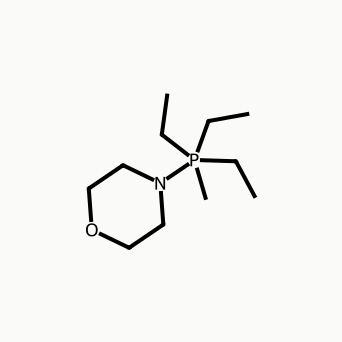 CCP(C)(CC)(CC)N1CCOCC1